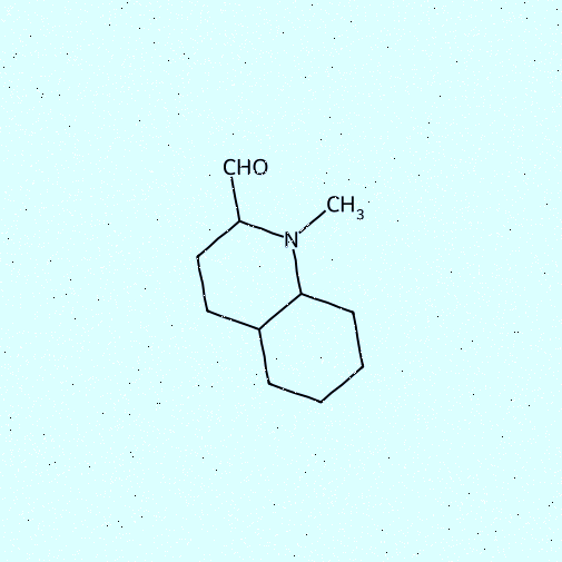 CN1C(C=O)CCC2CCCCC21